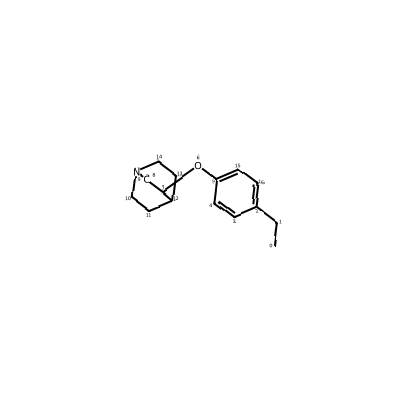 CCc1ccc(OC2CN3CCC2CC3)cc1